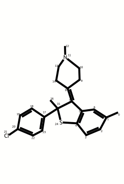 Cc1ccc2c(c1)C(=C1CCN(C)CC1)C(C)(c1ccc(Cl)cc1)S2